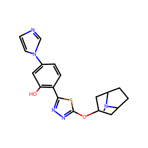 CN1C2CCC1CC(Oc1nnc(-c3ccc(-n4ccnc4)cc3O)s1)C2